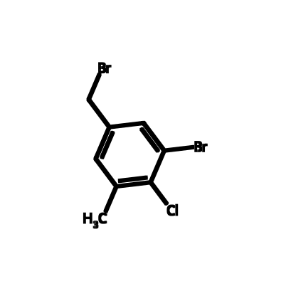 Cc1cc(CBr)cc(Br)c1Cl